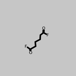 O=C(F)CCCCC(=O)F